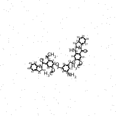 C=Nc1cc(OCc2cc(N)cc(COc3cc4c(cc3OC)C(=O)N3c5ccccc5CC3N4)c2)c(OC)cc1C(=O)N1CCc2ccccc21